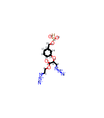 [N-]=[N+]=NCCOC(=O)C(CN=[N+]=[N-])Oc1cccc(CO[SH](=O)=O)c1